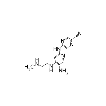 CNCCNc1cc(Nc2cnc(C#N)cn2)ncc1N